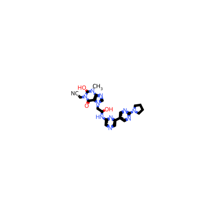 CN1c2ncn(CC(O)Nc3cncc(-c4cnc(N5CCCC5)nc4)n3)c2C(=O)N(CC#N)C1O